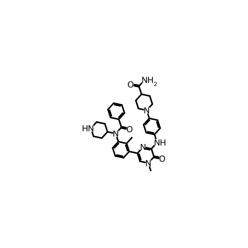 Cc1c(-c2cn(C)c(=O)c(Nc3ccc(N4CCC(C(N)=O)CC4)cc3)n2)cccc1N(C(=O)c1ccccc1)C1CCNCC1